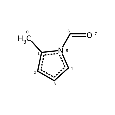 Cc1cccn1C=O